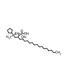 CCCCCCCCCCCCCCCCC(C[N+](C)(C)C1CCCC1)OP(=O)(O)O